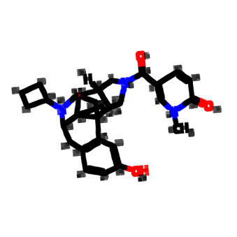 Cn1cc(C(=O)N2C[C@H]3CC45CCC2C3C42CCN(C3CCC3)C5Cc3ccc(O)cc32)ccc1=O